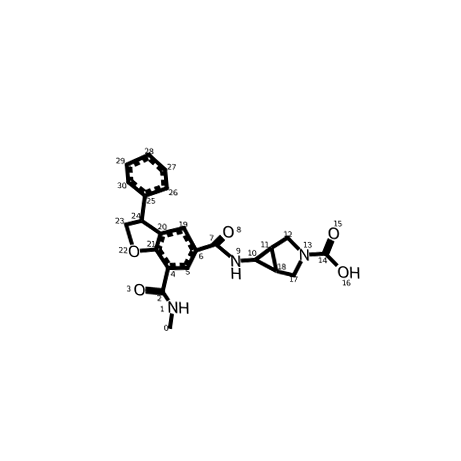 CNC(=O)c1cc(C(=O)NC2C3CN(C(=O)O)CC32)cc2c1OCC2c1ccccc1